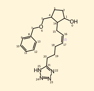 OC1CCC(COCc2ccccc2)C1C/C=C\CCCc1nnn[nH]1